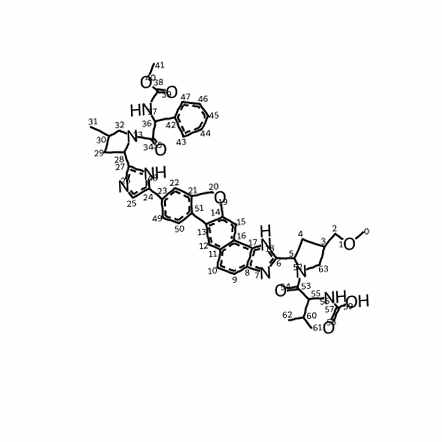 COCC1CC(c2nc3ccc4cc5c(cc4c3[nH]2)OCc2cc(-c3cnc(C4CC(C)CN4C(=O)C(NC(=O)OC)c4ccccc4)[nH]3)ccc2-5)N(C(=O)C(NC(=O)O)C(C)C)C1